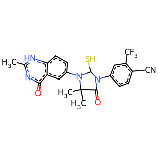 Cc1nc(=O)c2cc(N3C(S)N(c4ccc(C#N)c(C(F)(F)F)c4)C(=O)C3(C)C)ccc2[nH]1